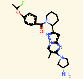 Cc1cn2nc([C@@H]3CCCCN3C(=O)c3ccc(OC(C)F)cc3)cc2nc1N1CC[C@H](N)C1